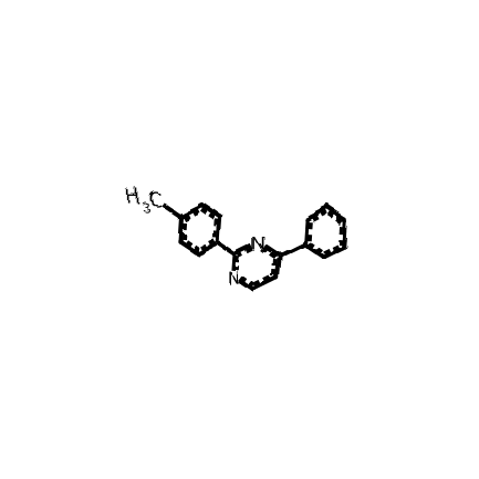 Cc1ccc(-c2nccc(-c3ccccc3)n2)cc1